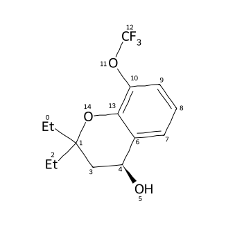 CCC1(CC)C[C@H](O)c2cccc(OC(F)(F)F)c2O1